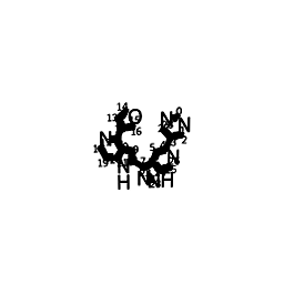 c1ncc(-c2cc3c(-c4cc5c(-c6ccoc6)nccc5[nH]4)n[nH]c3cn2)cn1